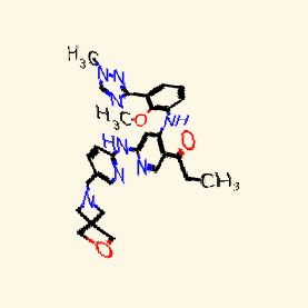 CCC(=O)c1cnc(Nc2ccc(CN3CC4(COC4)C3)cn2)cc1Nc1cccc(-c2ncn(C)n2)c1OC